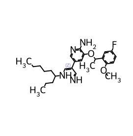 CCCCCC(CCC)N/C=C(\C=N)c1cnc(N)c(OC(C)c2cc(F)ccc2OC)c1